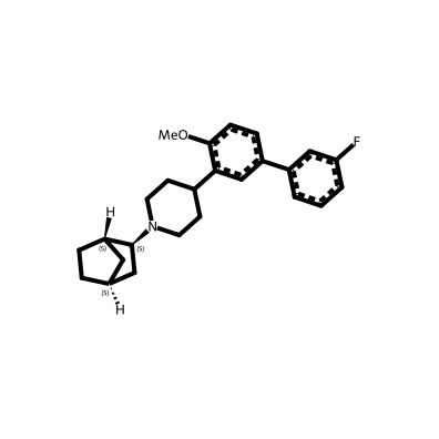 COc1ccc(-c2cccc(F)c2)cc1C1CCN([C@H]2C[C@H]3CC[C@H]2C3)CC1